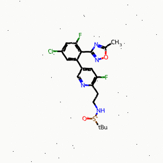 Cc1nc(-c2c(F)cc(Cl)cc2-c2cnc(CCN[S+]([O-])C(C)(C)C)c(F)c2)no1